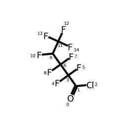 O=C(Cl)C(F)(F)C(F)(F)C(F)C(F)(F)F